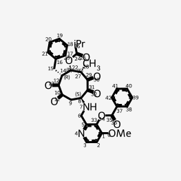 COc1ccnc(CN[C@H]2CC(=O)C(=O)[C@H](Cc3ccccc3)[C@H](OC(=O)C(C)C)[C@H](C)C(=O)C2=O)c1OC(=O)c1ccccc1